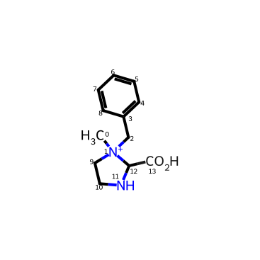 C[N+]1(Cc2ccccc2)CCNC1C(=O)O